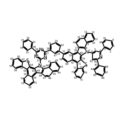 c1ccc(-c2cc(-n3c4c5ccccc5ccc4c4c5cc(-c6cccc(-c7nc(-c8ccccc8)nc(-n8c9c%10ccccc%10ccc9c9c%10ccccc%10c%10c%11ccccc%11sc%10c98)n7)c6)ccc5c5c6ccccc6sc5c43)cc(-c3ccccc3)n2)cc1